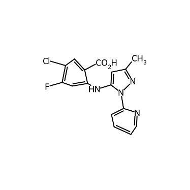 Cc1cc(Nc2cc(F)c(Cl)cc2C(=O)O)n(-c2ccccn2)n1